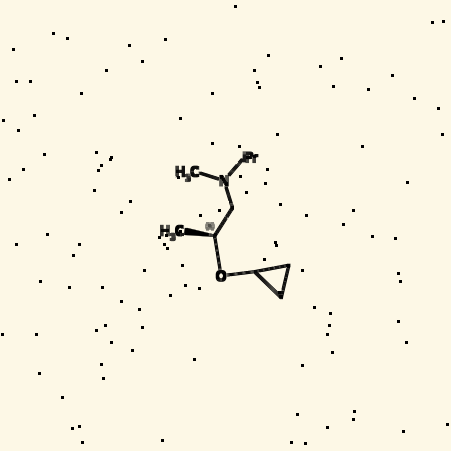 CC(C)N(C)C[C@H](C)OC1CC1